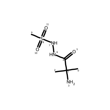 CC(C)(N)C(=O)NNS(C)(=O)=O